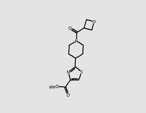 COC(=O)c1csc(C2CCN(C(=O)C3COC3)CC2)n1